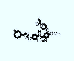 C=CC(=O)N1CCC(Oc2cc3c(Nc4ccc(Oc5nc(C6=C/C=C(/C)CC/C=C\6)cs5)cc4F)ncnc3cc2OC)CC1